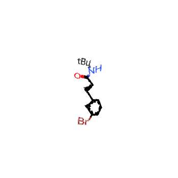 CC(C)(C)NC(=O)C=Cc1cccc(Br)c1